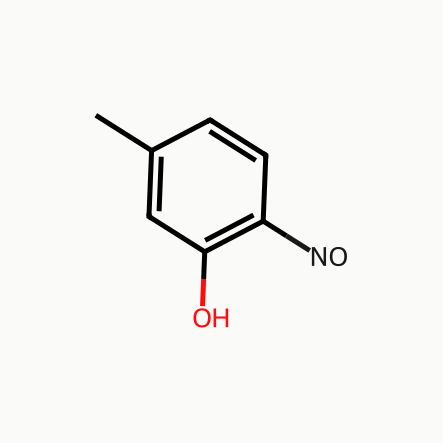 Cc1ccc(N=O)c(O)c1